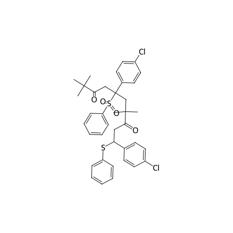 CC(C)(C)C(=O)CC(CC(C)(C)C(=O)CC(Sc1ccccc1)c1ccc(Cl)cc1)(c1ccc(Cl)cc1)S(=O)(=O)c1ccccc1